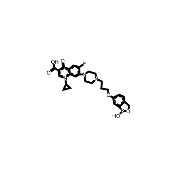 O=C(O)c1cn(C2CC2)c2cc(N3CCN(CCCOc4ccc5c(c4)B(O)OC5)CC3)c(F)cc2c1=O